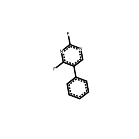 Fc1ncc(-c2ccccc2)c(F)n1